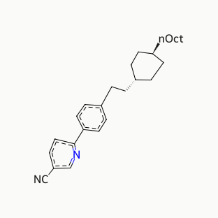 CCCCCCCC[C@H]1CC[C@H](CCc2ccc(-c3ccc(C#N)cn3)cc2)CC1